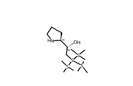 CS(C)(C)S(C[C@@H](O)[C@@H]1CCCN1)(S(C)(C)C)S(C)(C)C